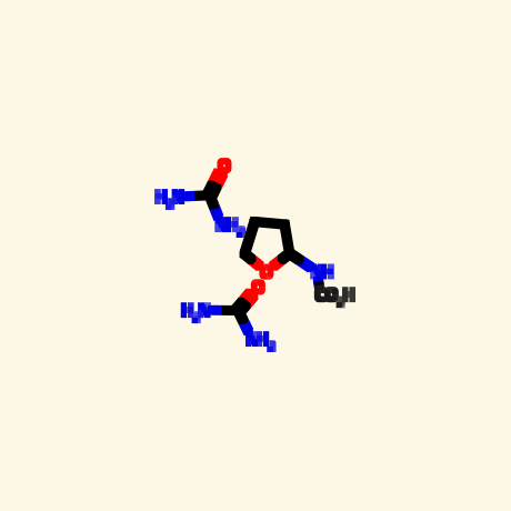 NC(N)=O.NC(N)=O.O=C(O)NC1CCCO1